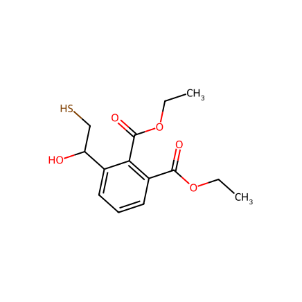 CCOC(=O)c1cccc(C(O)CS)c1C(=O)OCC